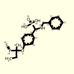 CCC(C)(Oc1ccc(C(NCc2ccccc2)P(=O)(O)O)cc1)P=S